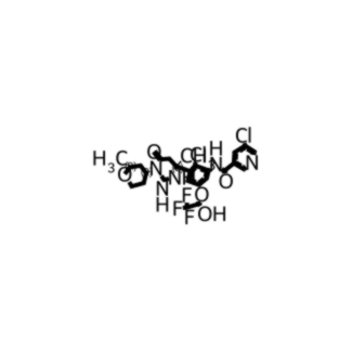 C[C@@H]1C[C@H](N2C(=N)N[C@](C)(c3cccc(NC(=O)c4cncc(Cl)c4)c3Cl)CC2=O)CCO1.O=C(O)C(F)(F)F